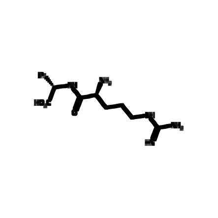 CC(C)[C@H](NC(=O)[C@@H](N)CCCNC(=N)N)C(=O)O